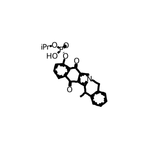 CC(C)OP(=O)(O)Oc1cccc2c1C(=O)c1cn3c(c1C2=O)C(C)c1ccccc1C3